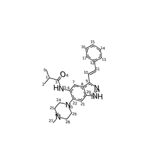 CC(C)C(=O)Nc1cc2c(C=Cc3ccccc3)n[nH]c2cc1N1CCN(C)CC1